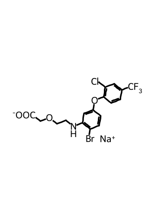 O=C([O-])COCCNc1cc(Oc2ccc(C(F)(F)F)cc2Cl)ccc1Br.[Na+]